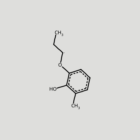 CC[CH]Oc1cccc(C)c1O